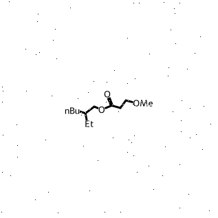 CCCCC(CC)COC(=O)CCOC